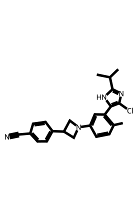 Cc1ccc(N2CC(c3ccc(C#N)cc3)C2)cc1-c1[nH]c(C(C)C)nc1Cl